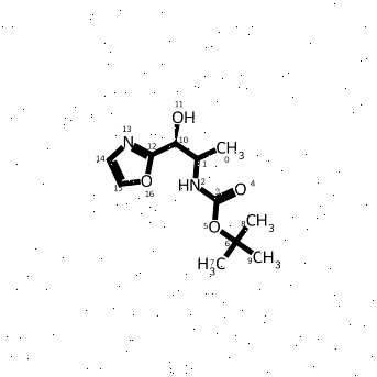 CC(NC(=O)OC(C)(C)C)[C@H](O)c1ncco1